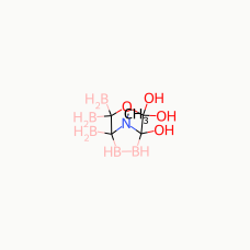 BC1(B)OC(O)(O)C2(O)BBC1(B)N2C